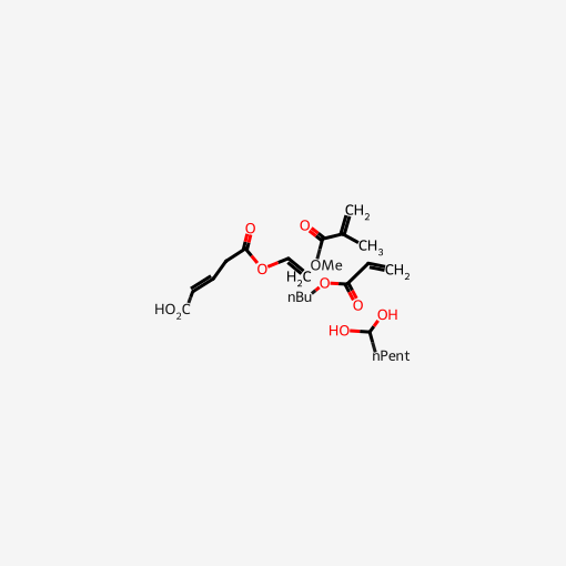 C=C(C)C(=O)OC.C=CC(=O)OCCCC.C=COC(=O)CC=CC(=O)O.CCCCCC(O)O